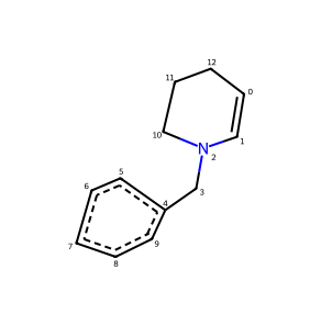 C1=CN(Cc2ccccc2)CCC1